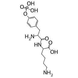 NCCCCC(NC(=O)C(N)Cc1ccc(OP(=O)(O)O)cc1)C(=O)O